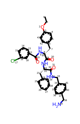 CCOc1ccc(C[C@@H](NC(=O)c2cccc(Cl)c2)C(=O)N[C@@H](Cc2ccccc2)C(=O)NCc2ccc(CN)cc2)cc1